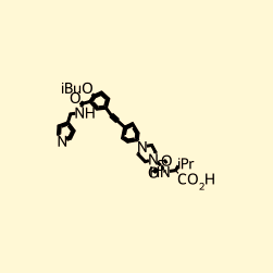 CC(C)COc1ccc(C#Cc2ccc(N3CCN(S(=O)(=O)N[C@@H](C(=O)O)C(C)C)CC3)cc2)cc1C(=O)NCc1ccncc1